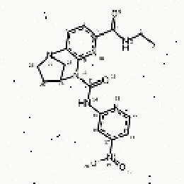 CCNC(=O)c1ccc2c(n1)N(C(=O)Nc1cc([N+](=O)[O-])ccn1)C1CCN2C1